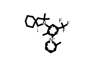 Cc1c(N2[C@H](C)C3(CCCCC3)CC2(C)C)cc(C(F)(F)F)cc1-[n+]1ccccc1C